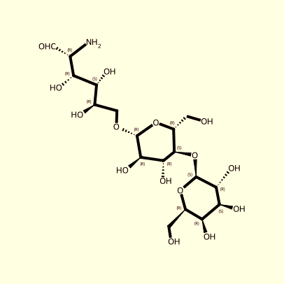 N[C@@H](C=O)[C@@H](O)[C@H](O)[C@H](O)CO[C@@H]1O[C@H](CO)[C@@H](O[C@@H]2O[C@H](CO)[C@H](O)[C@H](O)[C@H]2O)[C@H](O)[C@H]1O